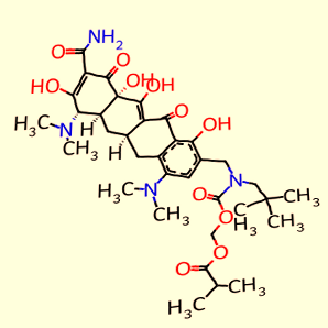 CC(C)C(=O)OCOC(=O)N(Cc1cc(N(C)C)c2c(c1O)C(=O)C1=C(O)[C@]3(O)C(=O)C(C(N)=O)=C(O)[C@@H](N(C)C)[C@@H]3C[C@@H]1C2)CC(C)(C)C